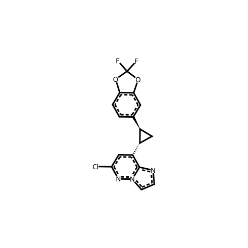 FC1(F)Oc2ccc([C@H]3C[C@@H]3c3cc(Cl)nn4ccnc34)cc2O1